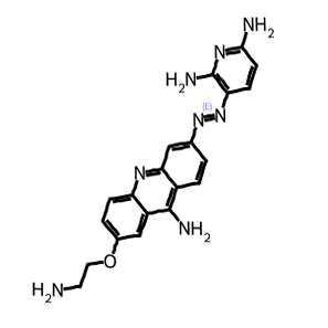 NCCOc1ccc2nc3cc(/N=N/c4ccc(N)nc4N)ccc3c(N)c2c1